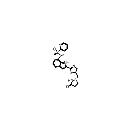 C=S(=O)(c1ccccn1)N(C)c1cccc2cc(C3=NCC(CN4CCC(=O)N4)S3)[nH]c12